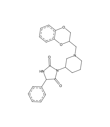 O=C1NC(c2ccccc2)C(=O)N1C1CCCN(CC2COc3ccccc3O2)C1